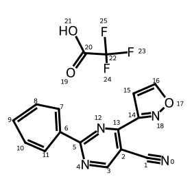 N#Cc1cnc(-c2ccccc2)nc1-c1ccon1.O=C(O)C(F)(F)F